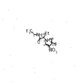 CCC(C(=O)NCC(F)(F)F)n1cc([N+](=O)[O-])c(F)n1